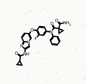 NC(=O)C1(C(=O)N(c2ccccc2)c2ccc(Oc3ccc4nc(NC(=O)C5CC5)cn4c3)c(F)c2)CC1